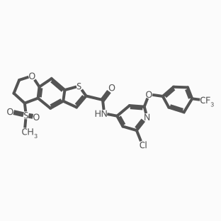 CS(=O)(=O)C1CCOc2cc3sc(C(=O)Nc4cc(Cl)nc(Oc5ccc(C(F)(F)F)cc5)c4)cc3cc21